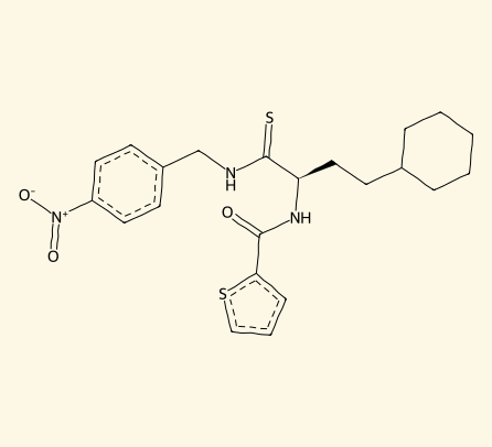 O=C(N[C@H](CCC1CCCCC1)C(=S)NCc1ccc([N+](=O)[O-])cc1)c1cccs1